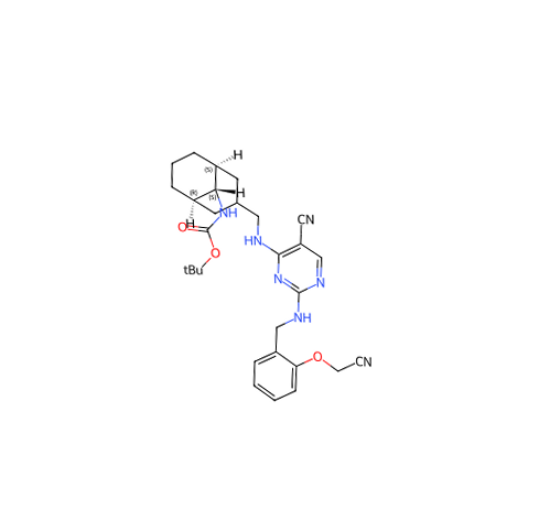 CC(C)(C)OC(=O)N[C@@H]1[C@@H]2CCC[C@H]1CC(CNc1nc(NCc3ccccc3OCC#N)ncc1C#N)C2